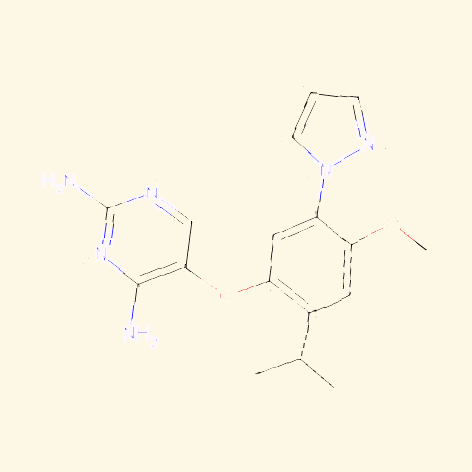 COc1cc(C(C)C)c(Oc2cnc(N)nc2N)cc1-n1cccn1